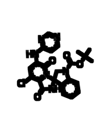 CC(C)(C)OC(=O)N1CC2(NC(=O)c3c(Cl)cc(Nc4ccncn4)c(=O)n32)c2ccccc21